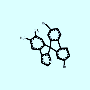 Cc1cc2c(cc1C)C1(c3cc(Br)ccc3-c3ccc(Br)cc31)c1sccc1-2